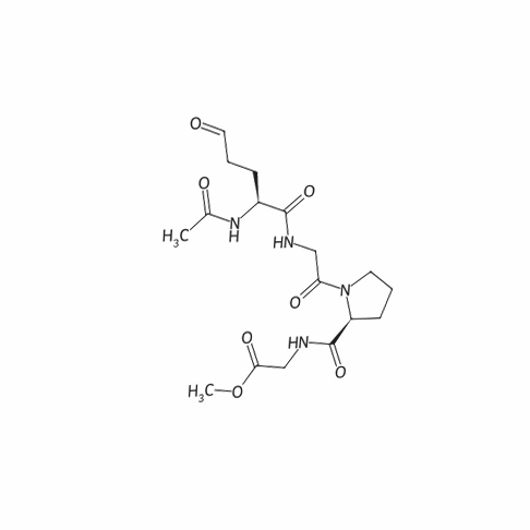 COC(=O)CNC(=O)[C@@H]1CCCN1C(=O)CNC(=O)[C@H](CCC=O)NC(C)=O